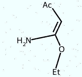 CCO/C(N)=C/C(C)=O